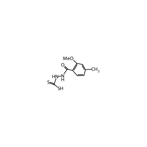 COc1cc(C)ccc1C(=O)NNC(=S)S